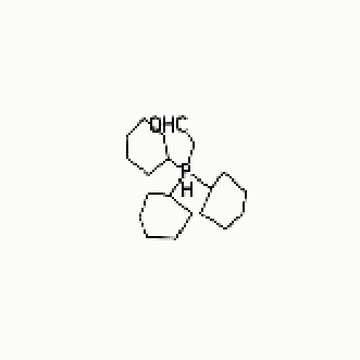 O=CC[PH](C1CCCCC1)(C1CCCCC1)C1CCCCC1